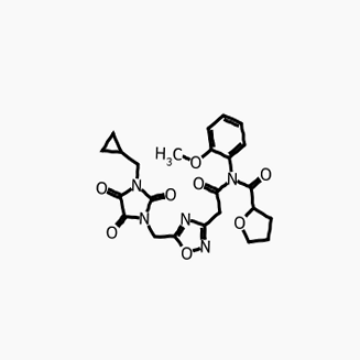 COc1ccccc1N(C(=O)Cc1noc(CN2C(=O)C(=O)N(CC3CC3)C2=O)n1)C(=O)C1CCCO1